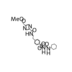 COOCc1cnc(C(=O)NCCc2ccc(S(=O)(=O)NC(=O)NC3CCCCC3)cc2)cn1